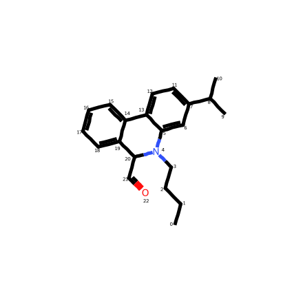 CCCCN1c2cc(C(C)C)ccc2-c2ccccc2C1C=O